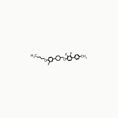 CCCCCOc1ccc(C2CCC(COc3ccc(-c4ccc(C)cc4)c(F)c3F)CC2)cc1F